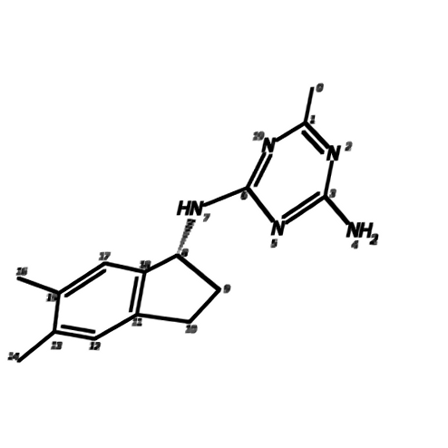 Cc1nc(N)nc(N[C@@H]2CCc3cc(C)c(C)cc32)n1